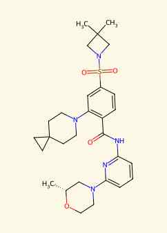 C[C@@H]1CN(c2cccc(NC(=O)c3ccc(S(=O)(=O)N4CC(C)(C)C4)cc3N3CCC4(CC3)CC4)n2)CCO1